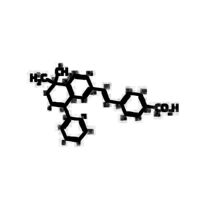 CC1(C)CC=C(c2ccccc2)c2cc(C=Cc3ccc(C(=O)O)cc3)ccc21